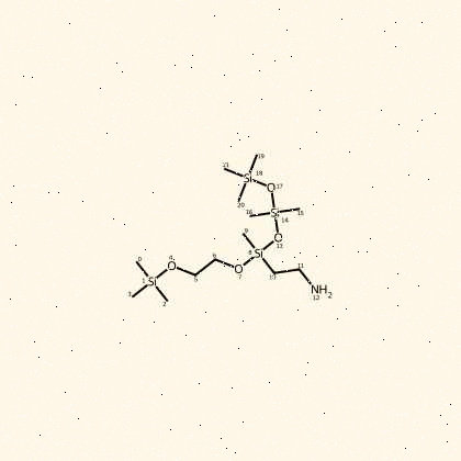 C[Si](C)(C)OCCO[Si](C)(CCN)O[Si](C)(C)O[Si](C)(C)C